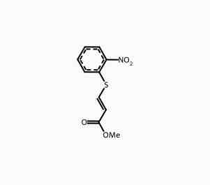 COC(=O)/C=C/Sc1ccccc1[N+](=O)[O-]